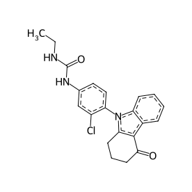 CCNC(=O)Nc1ccc(-n2c3c(c4ccccc42)C(=O)CCC3)c(Cl)c1